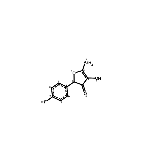 O=C1C(O)=C([AsH2])OC1c1ccc(F)cc1